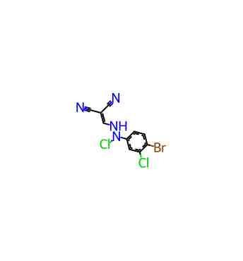 N#CC(C#N)=CNN(Cl)c1ccc(Br)c(Cl)c1